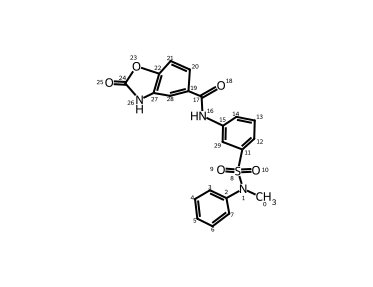 CN(c1ccccc1)S(=O)(=O)c1cccc(NC(=O)c2ccc3oc(=O)[nH]c3c2)c1